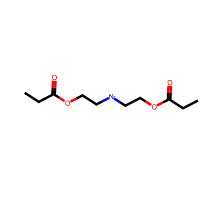 CCC(=O)OCC[N]CCOC(=O)CC